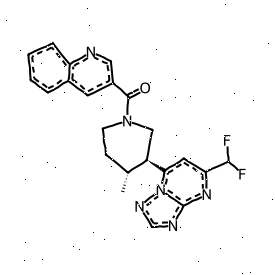 C[C@@H]1CCN(C(=O)c2cnc3ccccc3c2)C[C@H]1c1cc(C(F)F)nc2ncnn12